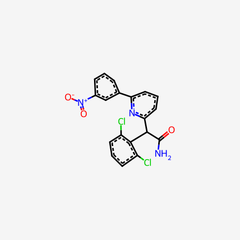 NC(=O)C(c1cccc(-c2cccc([N+](=O)[O-])c2)n1)c1c(Cl)cccc1Cl